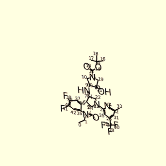 CCN(C(=O)[C@@H]1C[C@H](N[C@@H]2CN(C(=O)OC(C)(C)C)C[C@H]2O)CN1c1cc(C(F)(F)F)cc(C)n1)c1ccc(F)c(F)c1